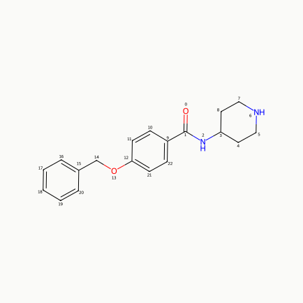 O=C(NC1CCNCC1)c1ccc(OCc2ccccc2)cc1